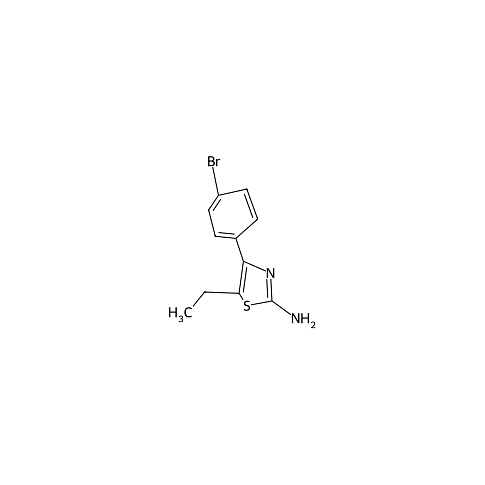 CCc1sc(N)nc1-c1ccc(Br)cc1